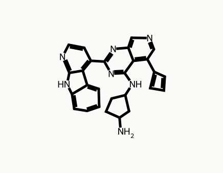 NC1CCC(Nc2nc(-c3ccnc4[nH]c5ccccc5c34)nc3cncc(C4=CC=C4)c23)C1